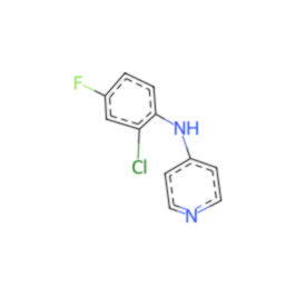 Fc1ccc(Nc2ccncc2)c(Cl)c1